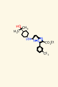 CCOC(=O)c1nc2ccc(N[C@H]3CC[C@H](C(C)(C)O)CC3)nn2c1-c1cccc(C(F)(F)F)c1